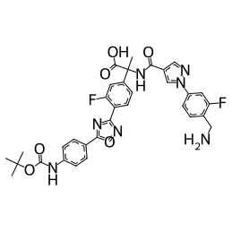 CC(C)(C)OC(=O)Nc1ccc(-c2nc(-c3ccc(C(C)(NC(=O)c4cnn(-c5ccc(CN)c(F)c5)c4)C(=O)O)cc3F)no2)cc1